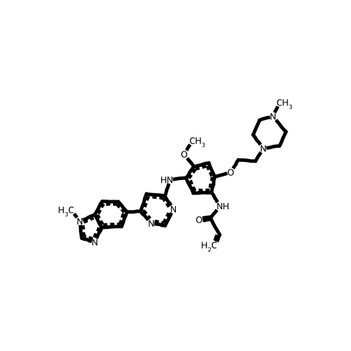 C=CC(=O)Nc1cc(Nc2cc(-c3ccc4c(c3)ncn4C)ncn2)c(OC)cc1OCCN1CCN(C)CC1